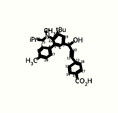 Cc1ccc(-c2cc(C(O)C#Cc3ccc(C(=O)O)cc3)cc(C(C)(C)C)c2N(C)CC(C)C)cc1